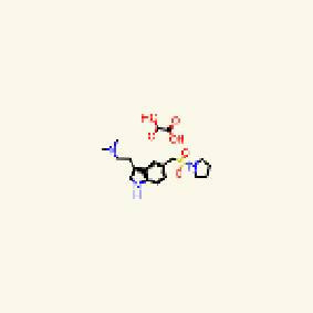 CN(C)CCc1c[nH]c2ccc(CS(=O)(=O)N3CCCC3)cc12.O=C(O)C(=O)O